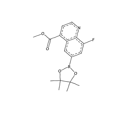 COC(=O)c1ccnc2c(F)cc(B3OC(C)(C)C(C)(C)O3)cc12